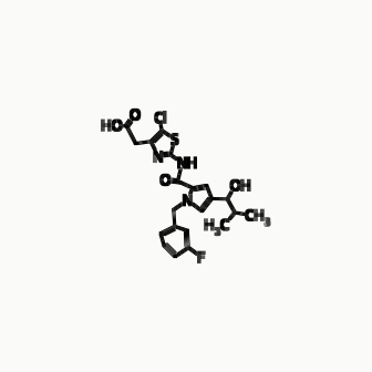 CC(C)C(O)c1cc(C(=O)Nc2nc(CC(=O)O)c(Cl)s2)n(Cc2cccc(F)c2)c1